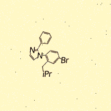 CC(C)Cc1cc(Br)ccc1-n1ccnc1-c1ccccc1